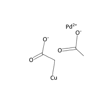 CC(=O)[O-].O=C([O-])[CH2][Cu].[Pd+2]